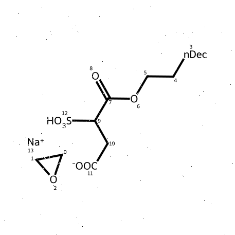 C1CO1.CCCCCCCCCCCCOC(=O)C(CC(=O)[O-])S(=O)(=O)O.[Na+]